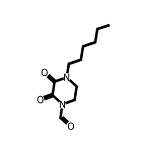 CCCCCCN1CCN(C=O)C(=O)C1=O